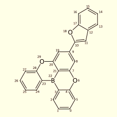 c1ccc2c(c1)Oc1cc(-c3cc4ccccc4o3)cc3c1B2c1ccccc1O3